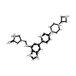 O=C1C[C@H](COc2cc(-c3ccc(N4CCN(C5COC5)CC4)cn3)cc3ncsc23)CN1